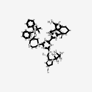 [2H]C([2H])([2H])C([2H])([2H])N1C[C@H](F)C[C@H]1[C@H](C)Oc1nc(-c2noc([C@@]3(C)CCCc4sc(N)c(C#N)c43)n2)nc(N2CCOC[C@@](C)(O[Si](c3ccccc3)(c3ccccc3)C(C)(C)C)C2)n1